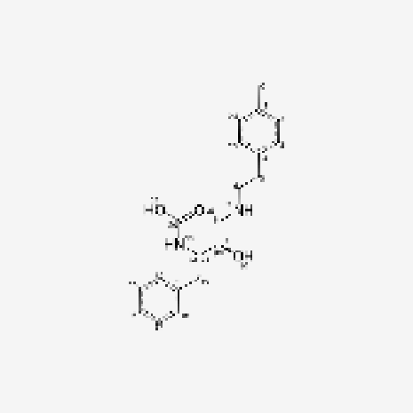 Cc1ccc(CCNC[C@@H](O)[C@H](Cc2ccccc2)NC(=O)O)cc1